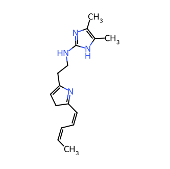 C/C=C\C=C/C1=NC(CCNc2nc(C)c(C)[nH]2)=CC1